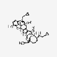 Cn1c2c(c3c1[C@@H]1Oc4c(O)ccc5c4[C@@]14CCN(CC1CC1)C(C5)[C@]4(O)C3)C[C@]1(O)C[C@H]2Oc2c(O)ccc3c2CCCC(NCC2CC2)[C@@H]1C3